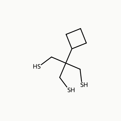 SCC(CS)(CS)C1CCC1